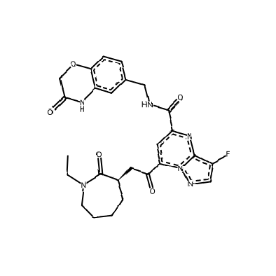 CCN1CCCC[C@H](CC(=O)c2cc(C(=O)NCc3ccc4c(c3)NC(=O)CO4)nc3c(F)cnn23)C1=O